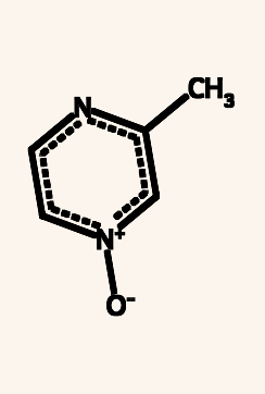 Cc1c[n+]([O-])ccn1